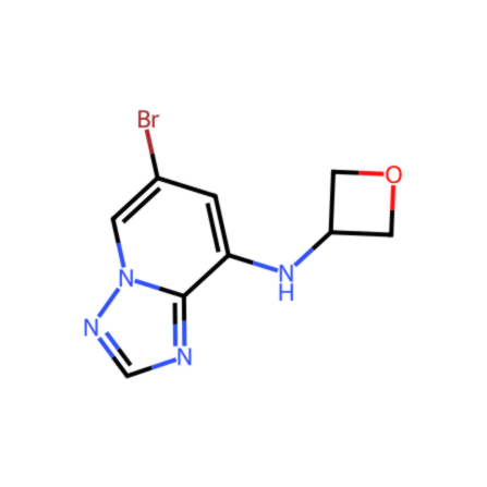 Brc1cc(NC2COC2)c2ncnn2c1